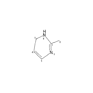 CC1=NC=[C]CN1